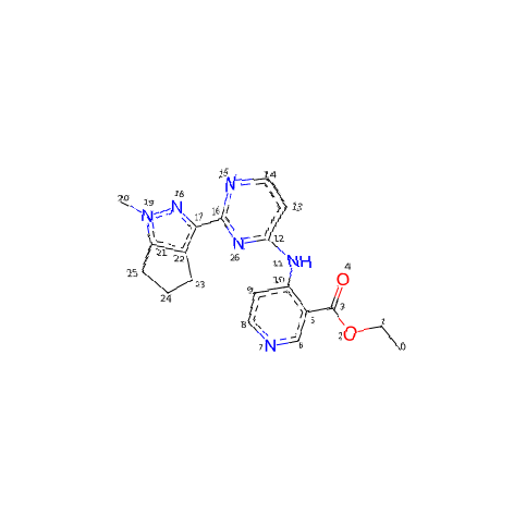 CCOC(=O)c1cnccc1Nc1ccnc(-c2nn(C)c3c2CCC3)n1